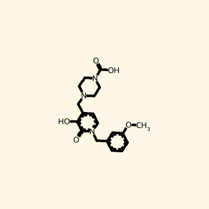 COc1cccc(Cn2ccc(CN3CCN(C(=O)O)CC3)c(O)c2=O)c1